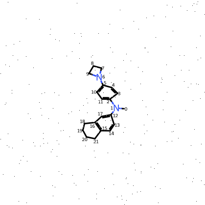 CN(c1ccc(N2CCC2)cc1)c1ccc2c(c1)CCCC2